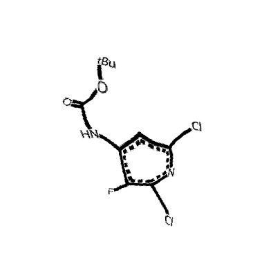 CC(C)(C)OC(=O)Nc1cc(Cl)nc(Cl)c1F